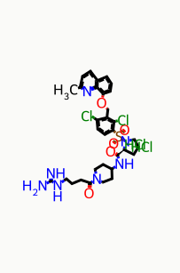 Cc1ccc2cccc(OCc3c(Cl)ccc(S(=O)(=O)N4CCC[C@H]4C(=O)NC4CCN(C(=O)CCCNC(=N)N)CC4)c3Cl)c2n1.Cl.Cl